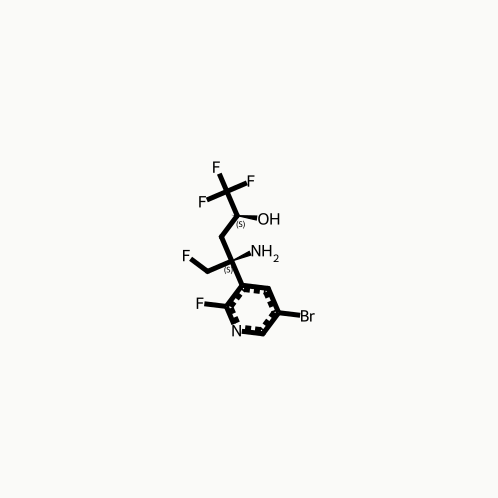 N[C@@](CF)(C[C@H](O)C(F)(F)F)c1cc(Br)cnc1F